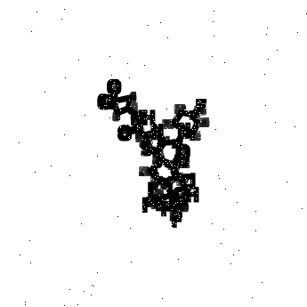 O=C(NC1CS(=O)(=O)C1)c1nc(C(=O)N2CCC(F)CC2)c(-c2ccc(C(O)(C(F)(F)F)C(F)(F)F)c(Cl)c2Cl)s1